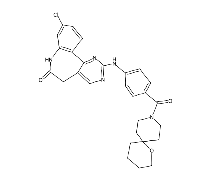 O=C1Cc2cnc(Nc3ccc(C(=O)N4CCC5(CCCCO5)CC4)cc3)nc2-c2ccc(Cl)cc2N1